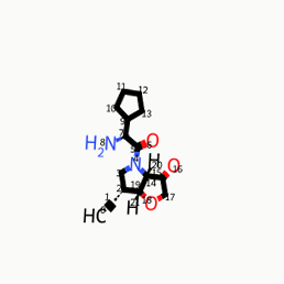 C#C[C@@H]1CN(C(=O)[C@@H](N)C2CCCC2)[C@@H]2C(=O)CO[C@H]12